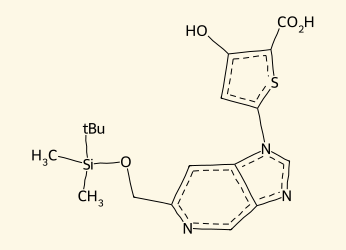 CC(C)(C)[Si](C)(C)OCc1cc2c(cn1)ncn2-c1cc(O)c(C(=O)O)s1